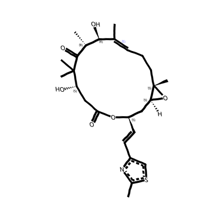 C/C1=C\CC[C@]2(C)O[C@H]2C[C@@H](C=Cc2csc(C)n2)OC(=O)C[C@H](O)C(C)(C)C(=O)[C@H](C)[C@H]1O